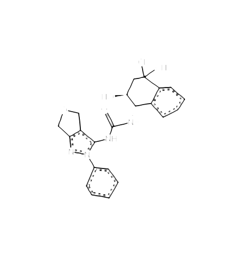 CC1(C)C[C@H](O)[C@@H](NC(=O)Nc2c3c(nn2-c2ccccc2)COC3)c2ccccc21